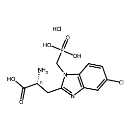 Cl.N[C@H](Cc1nc2cc(Cl)ccc2n1CP(=O)(O)O)C(=O)O